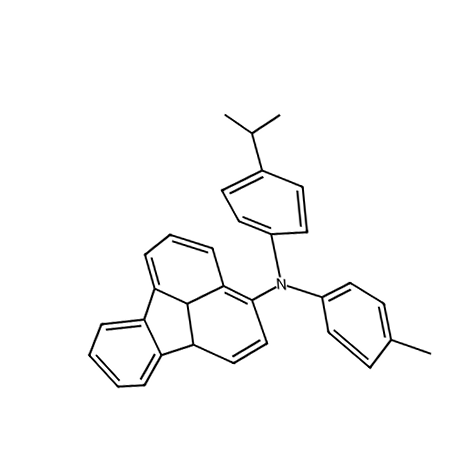 Cc1ccc(N(C2=C3C=CC=C4c5ccccc5C(C=C2)C43)c2ccc(C(C)C)cc2)cc1